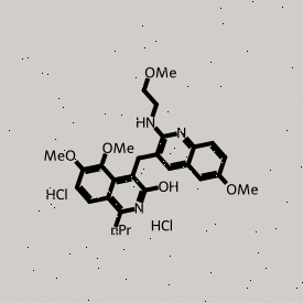 CCCc1nc(O)c(Cc2cc3cc(OC)ccc3nc2NCCOC)c2c(OC)c(OC)ccc12.Cl.Cl